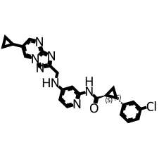 O=C(Nc1cc(NCc2nc3ncc(C4CC4)cn3n2)ccn1)[C@H]1C[C@@H]1c1cccc(Cl)c1